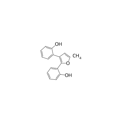 C.Oc1ccccc1-c1ccoc1-c1ccccc1O